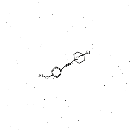 CCOc1ccc(C#CC23CCC(CC)(CC2)CC3)cc1